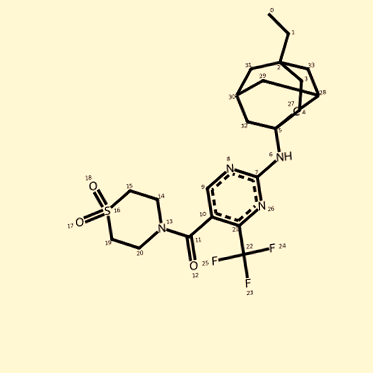 CCC12CCC3(Nc4ncc(C(=O)N5CCS(=O)(=O)CC5)c(C(F)(F)F)n4)CC(CC(C1)C3)C2